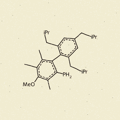 COc1c(C)c(C)c(-c2c(CC(C)C)cc(CC(C)C)cc2CC(C)C)c(P)c1C